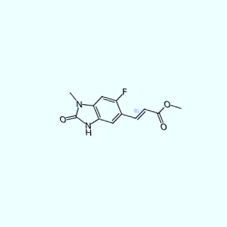 COC(=O)/C=C/c1cc2[nH]c(=O)n(C)c2cc1F